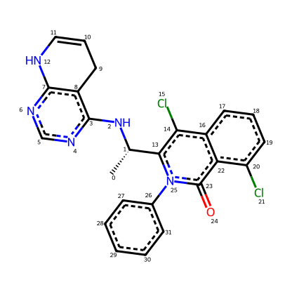 C[C@H](Nc1ncnc2c1CC=CN2)c1c(Cl)c2cccc(Cl)c2c(=O)n1-c1ccccc1